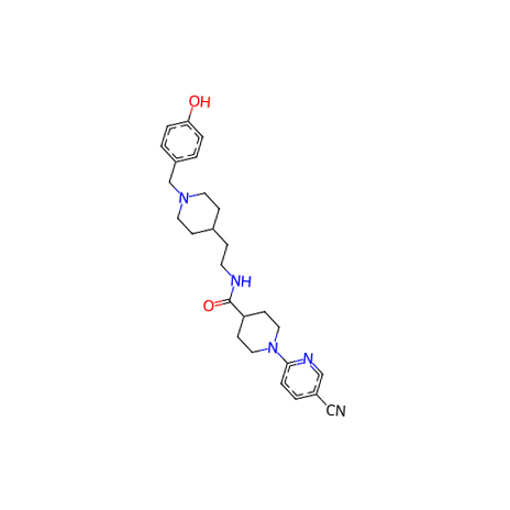 N#Cc1ccc(N2CCC(C(=O)NCCC3CCN(Cc4ccc(O)cc4)CC3)CC2)nc1